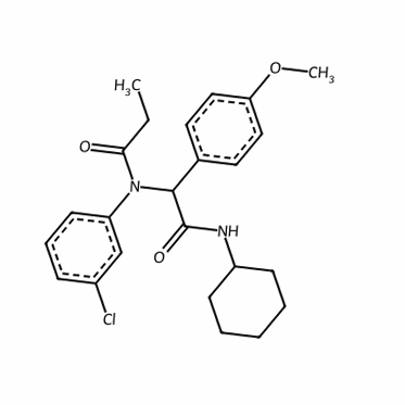 CCC(=O)N(c1cccc(Cl)c1)C(C(=O)NC1CCCCC1)c1ccc(OC)cc1